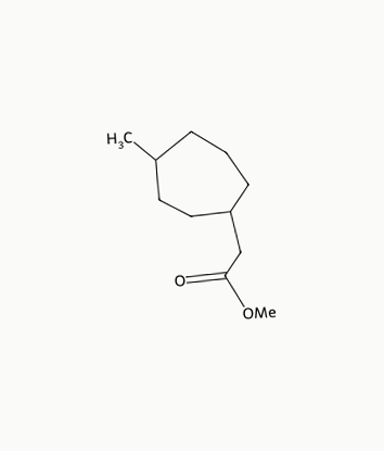 COC(=O)CC1CCCC(C)CC1